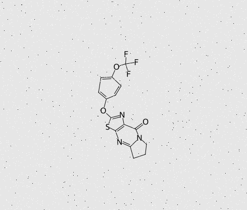 O=c1c2nc(Oc3ccc(OC(F)(F)F)cc3)sc2nc2n1CCC2